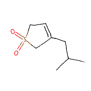 CC(C)CC1=CCS(=O)(=O)C1